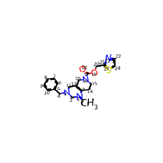 CN1CN(Cc2ccccc2)CC2=C1CCN(C(=O)OCc1nccs1)C2